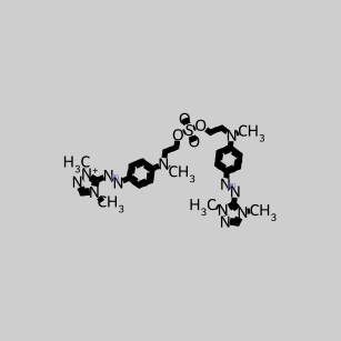 CN(CCOS(=O)(=O)OCCN(C)c1ccc(/N=N/c2n(C)cn[n+]2C)cc1)c1ccc(/N=N/c2n(C)cn[n+]2C)cc1